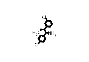 C=CC(c1cccc(Cl)c1)C(N)c1ccc(Cl)cc1